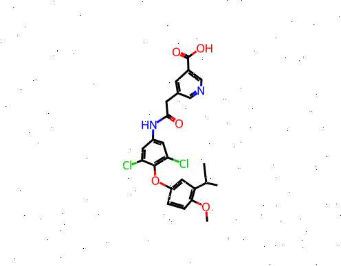 COc1ccc(Oc2c(Cl)cc(NC(=O)Cc3cncc(C(=O)O)c3)cc2Cl)cc1C(C)C